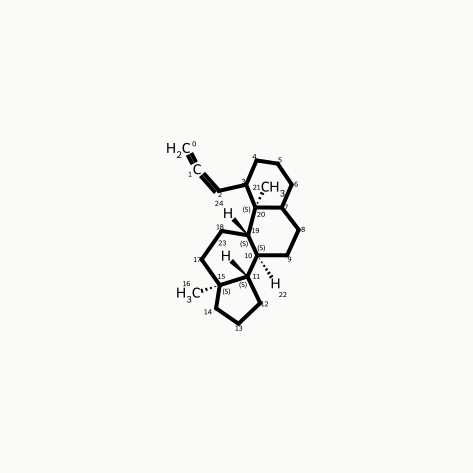 C=C=CC1CCCC2CC[C@H]3[C@@H]4CCC[C@@]4(C)CC[C@@H]3[C@@]12C